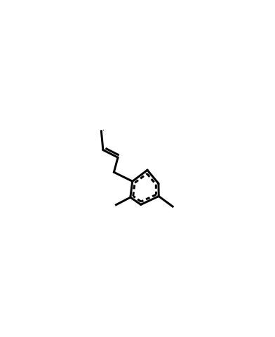 [CH2]C=CCc1ccc(C)cc1C